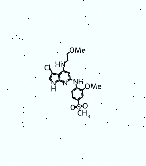 COCCNc1cc(Nc2ccc(S(C)(=O)=O)cc2OC)nc2[nH]cc(Cl)c12